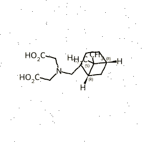 CC1(C)[C@@H]2CC[C@H](CN(CC(=O)O)CC(=O)O)[C@H]1C2